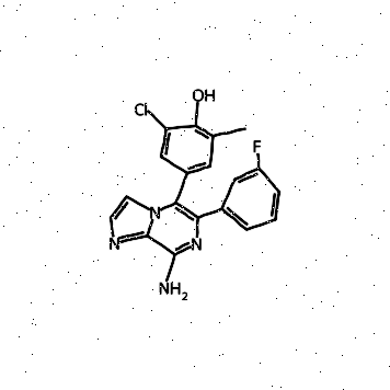 Cc1cc(-c2c(-c3cccc(F)c3)nc(N)c3nccn23)cc(Cl)c1O